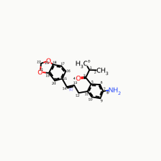 CC(C)C(=O)c1cc(N)ccc1C/C=C/c1ccc2c(c1)OCO2